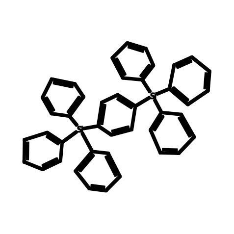 c1ccc([Si](c2ccccc2)(c2ccccc2)c2ccc([Si](c3ccccc3)(c3ccccc3)c3ccccc3)cc2)cc1